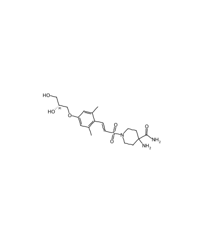 Cc1cc(OC[C@H](O)CO)cc(C)c1C=CS(=O)(=O)N1CCC(N)(C(N)=O)CC1